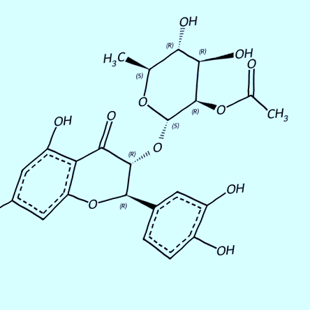 CC(=O)O[C@H]1[C@H](O[C@H]2C(=O)c3c(O)cc(O)cc3O[C@@H]2c2ccc(O)c(O)c2)O[C@@H](C)[C@H](O)[C@H]1O